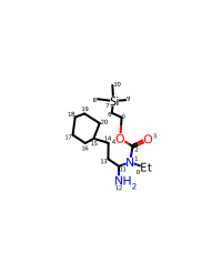 CCN(C(=O)OCC[Si](C)(C)C)C(N)CCC1CCCCC1